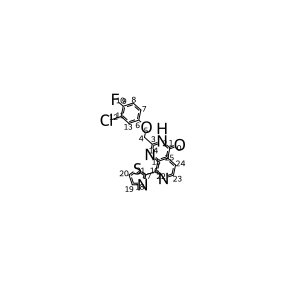 O=c1[nH]c(COc2ccc(F)c(Cl)c2)nc2c(-c3nccs3)nccc12